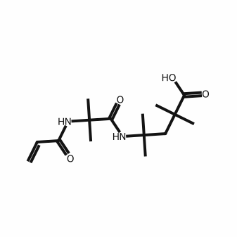 C=CC(=O)NC(C)(C)C(=O)NC(C)(C)CC(C)(C)C(=O)O